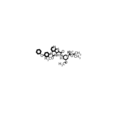 CO[C@@H]1C[C@@H](NC(=O)C2Sc3nccc4c3C2NC(=O)N4c2ccc(Oc3ccccc3)cc2C)CN(C(=O)OC(C)(C)C)C1